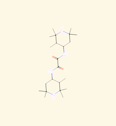 CCC1(C)CC(NC(=O)C(=O)NC2CC(C)(CC)NC(C)(CC)C2C)C(C)C(C)(CC)N1